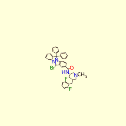 CN1CC(Cc2c(F)cccc2F)CC(NC(=O)c2ccc3c(c2)c(Br)nn3C(c2ccccc2)(c2ccccc2)c2ccccc2)C1